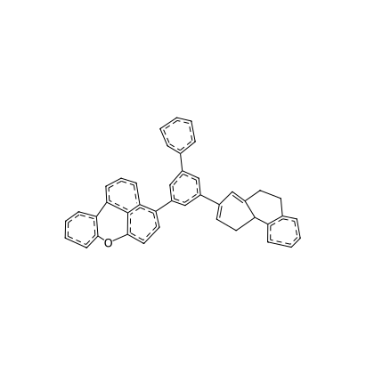 C1=C(c2cc(-c3ccccc3)cc(-c3ccc4c5c(cccc35)-c3ccccc3O4)c2)C=C2CCc3ccccc3C2C1